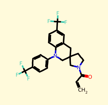 C=CC(=O)N1CCC2(Cc3cc(C(F)(F)F)ccc3N(c3ccc(C(F)(F)F)cc3)C2)C1